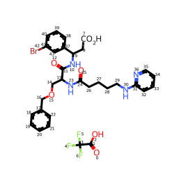 O=C(O)C(F)(F)F.O=C(O)CC(NC(=O)C(COCc1ccccc1)NC(=O)CCCCNc1ccccn1)c1cccc(Br)c1